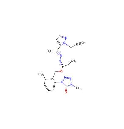 C#CCn1nccc1/C(C)=N/N=C(\CC)OCc1c(C)cccc1-n1nnn(C)c1=O